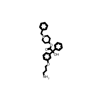 NCCCOc1cccc(C(O)(C(=O)OC2CCN(Cc3ccccc3)CC2)c2ccccc2)c1